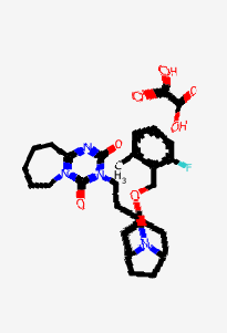 Cc1cccc(F)c1COC1CC2CCC(C1)N2CCCn1c(=O)nc2n(c1=O)CCCCC2.O=C(O)C(=O)O